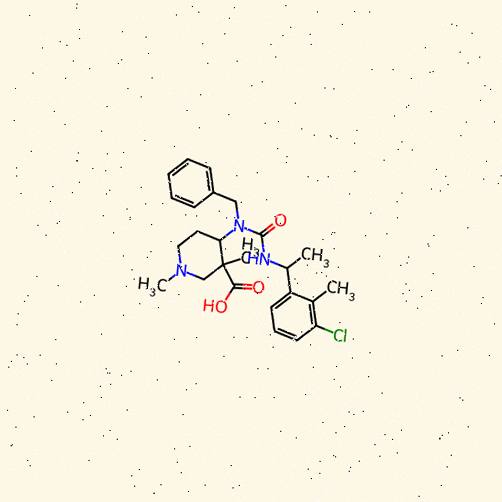 Cc1c(Cl)cccc1C(C)NC(=O)N(Cc1ccccc1)C1CCN(C)CC1(C)C(=O)O